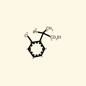 CCOC(=O)C(C)(c1ccccc1Cl)C(C)C